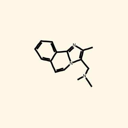 Cc1nc2c3ccccc3ccn2c1CN(C)C